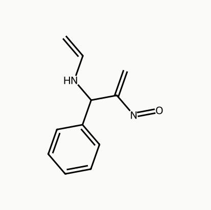 C=CNC(C(=C)N=O)c1ccccc1